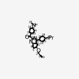 C#CCOc1ccc2nc(C(=O)c3ccc(N(C)C)cc3)nc(-c3ccc(C(C)C)cc3)c2c1